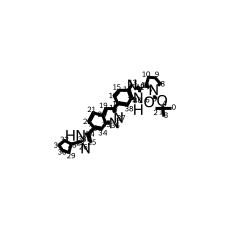 CC(C)(C)OC(=O)N1CCC[C@H]1c1nc2ccc(-c3cc4ccc(-c5cnc(C6CCCC6)[nH]5)cc4nn3)cc2[nH]1